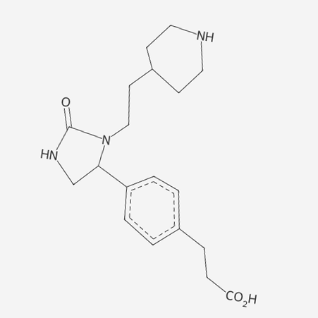 O=C(O)CCc1ccc(C2CNC(=O)N2CCC2CCNCC2)cc1